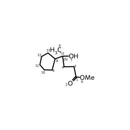 COC(=O)CC[C@](C)(O)C1CCCCC1